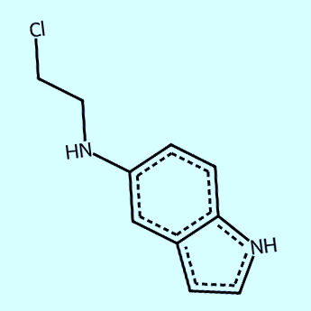 ClCCNc1ccc2[nH]ccc2c1